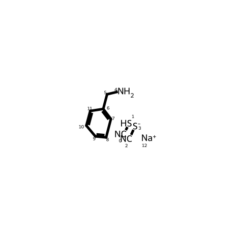 N#CS.N#C[S-].NCc1ccccc1.[Na+]